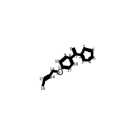 C=C(c1ccccc1)c1ccc(OCC#CC)cc1